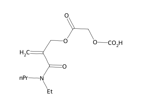 C=C(COC(=O)COC(=O)O)C(=O)N(CC)CCC